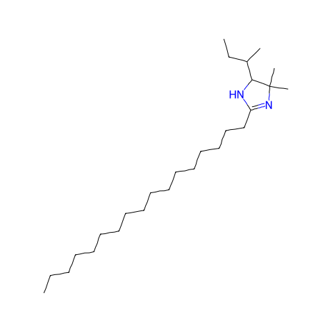 CCCCCCCCCCCCCCCCCC1=NC(C)(C)C(C(C)CC)N1